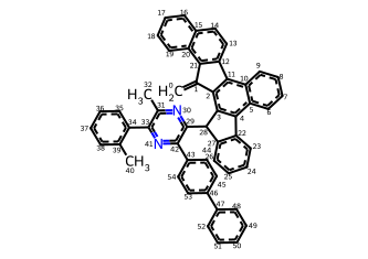 C=C1c2c3c(c4ccccc4c2-c2ccc4ccccc4c21)-c1ccccc1C3c1nc(C)c(-c2ccccc2C)nc1-c1ccc(-c2ccccc2)cc1